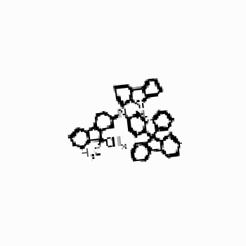 CC1(C)C2=C(CCC(N(C3=CCCC4c5ccccc5[SiH2]C34)C3C=CC(C4(c5ccccc5)C5=C(CCC=C5)C5C=CC=CC54)CC3)C2)C2C=CCCC21